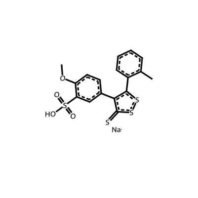 COc1ccc(-c2c(-c3ccccc3C)ssc2=S)cc1S(=O)(=O)O.[Na]